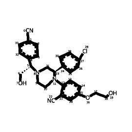 N#Cc1ccc([C@@H](CO)N2CCN(c3ccc(OCCO)cc3C#N)[C@H](c3ccc(Cl)cc3)C2)cc1